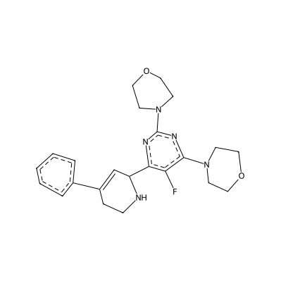 Fc1c(C2C=C(c3ccccc3)CCN2)nc(N2CCOCC2)nc1N1CCOCC1